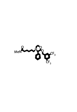 CNC(=O)CCCCCN1CCOC(OCc2cc(C(F)(F)F)cc(C(F)(F)F)c2)C1c1ccccc1